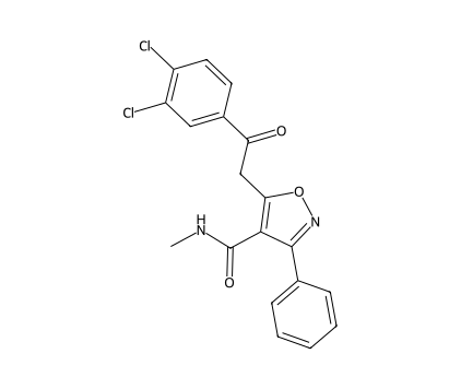 CNC(=O)c1c(-c2ccccc2)noc1CC(=O)c1ccc(Cl)c(Cl)c1